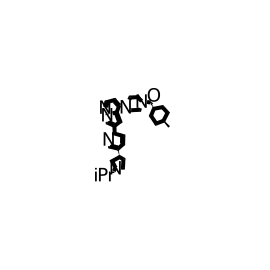 CC(C)N1CC[C@@H](c2ccc(-c3cc4c(N5CCN(C(=O)[C@H]6CC[C@H](C)CC6)CC5)ccnn4c3)nc2)C1